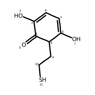 O=C1C(O)=CC=C(O)C1CCS